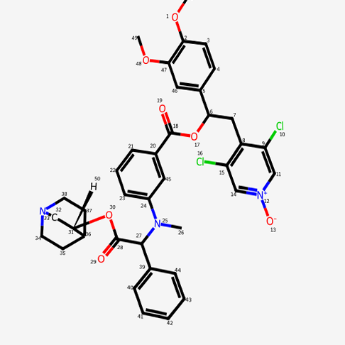 COc1ccc(C(Cc2c(Cl)c[n+]([O-])cc2Cl)OC(=O)c2cccc(N(C)C(C(=O)O[C@H]3CN4CCC3CC4)c3ccccc3)c2)cc1OC